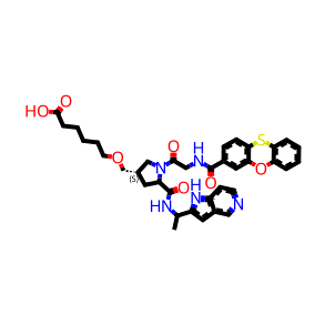 CC(NC(=O)C1C[C@H](COCCCCCC(=O)O)CN1C(=O)CNC(=O)c1ccc2c(c1)Oc1ccccc1S2)c1cc2cnccc2[nH]1